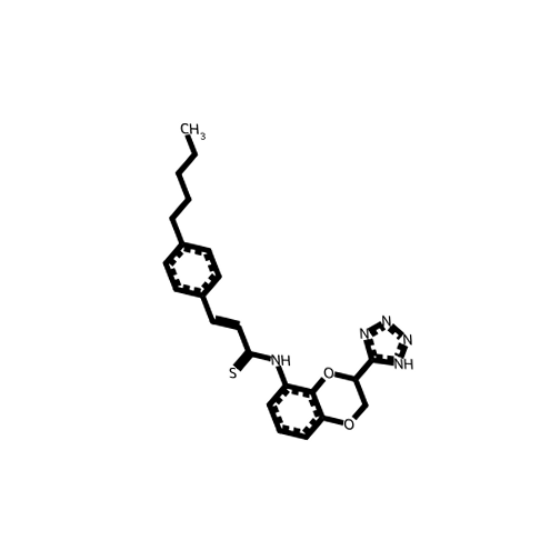 CCCCCc1ccc(/C=C/C(=S)Nc2cccc3c2OC(c2nnn[nH]2)CO3)cc1